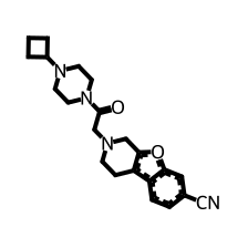 N#Cc1ccc2c3c(oc2c1)CN(CC(=O)N1CCN(C2CCC2)CC1)CC3